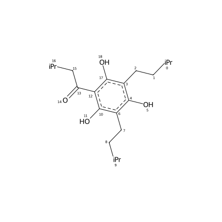 CC(C)CCc1c(O)c(CCC(C)C)c(O)c(C(=O)CC(C)C)c1O